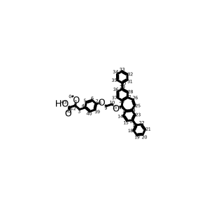 COC(Cc1ccc(OCCOC2c3ccc(-c4ccccc4)cc3C=Cc3cc(-c4ccccc4)ccc32)cc1)C(=O)O